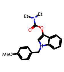 CCN(CC)C(=O)Oc1cn(Cc2ccc(OC)cc2)c2ccccc12